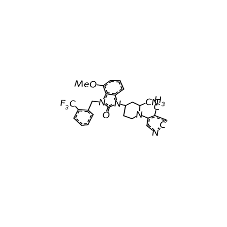 COc1cccc2c1n(Cc1ccccc1C(F)(F)F)c(=O)n2C1CCN(c2cnccc2C)C(C#N)C1